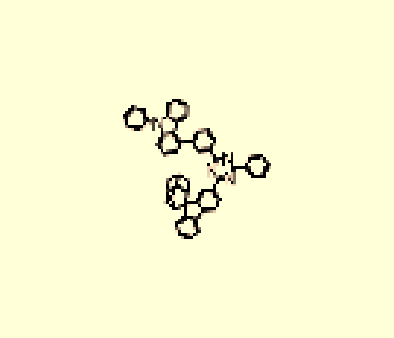 c1ccc(-c2nc(-c3cccc(-c4cccc5c4c4ccccc4n5-c4ccccc4)c3)nc(-c3ccc4c(c3)C3(c5ccccc5-4)C4CC5CC(C4)CC3C5)n2)cc1